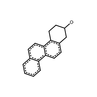 [O]C1CCc2c(ccc3c2ccc2ccccc23)C1